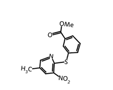 COC(=O)c1cccc(Sc2ncc(C)cc2[N+](=O)[O-])c1